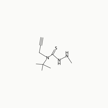 C#CCN(C(=S)NNC)C(C)(C)C